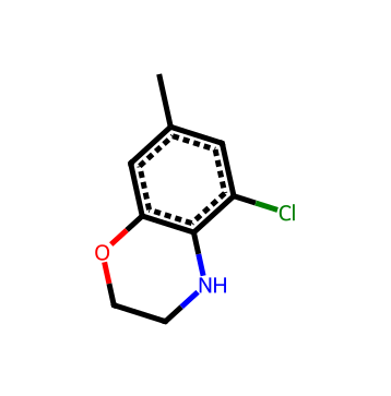 Cc1cc(Cl)c2c(c1)OCCN2